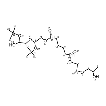 CC(O)COC(C)CO[PH](=O)CCCC[PH](=O)OCC(OCC(O)OC(C)(C)C)OC(C)(C)C